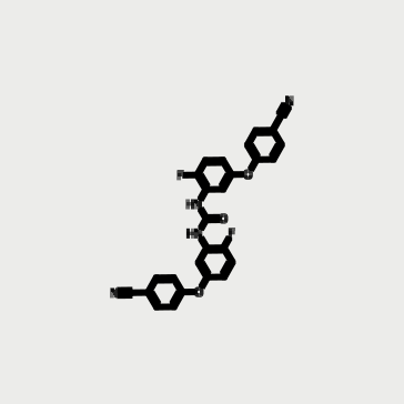 N#Cc1ccc(Oc2ccc(F)c(NC(=O)Nc3cc(Oc4ccc(C#N)cc4)ccc3F)c2)cc1